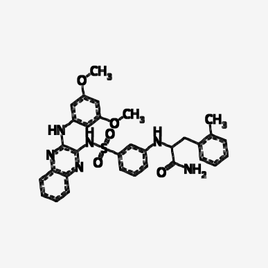 COc1cc(Nc2nc3ccccc3nc2NS(=O)(=O)c2cccc(NC(Cc3ccccc3C)C(N)=O)c2)cc(OC)c1